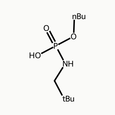 CCCCOP(=O)(O)NCC(C)(C)C